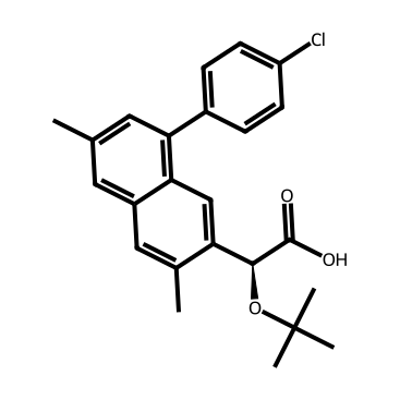 Cc1cc(-c2ccc(Cl)cc2)c2cc([C@H](OC(C)(C)C)C(=O)O)c(C)cc2c1